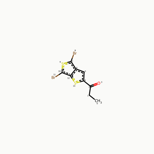 CCC(=O)c1cc2c(Br)sc(Br)c2s1